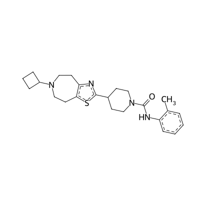 Cc1ccccc1NC(=O)N1CCC(c2nc3c(s2)CCN(C2CCC2)CC3)CC1